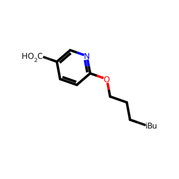 CCC(C)CCCOc1ccc(C(=O)O)cn1